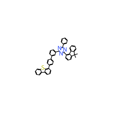 CC1(C)c2ccccc2-c2c(-c3nc(-c4ccccc4)nc(-c4cccc(-c5ccc(-c6cccc7c6sc6ccccc67)cc5)c4)n3)cccc21